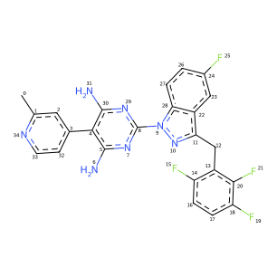 Cc1cc(-c2c(N)nc(-n3nc(Cc4c(F)ccc(F)c4F)c4cc(F)ccc43)nc2N)ccn1